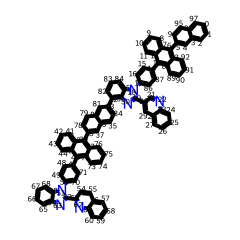 c1ccc2cc(-c3c4ccccc4c(-c4ccc(-n5c(-c6cnc7ccccc7c6)nc6c(-c7ccc8cc(-c9c%10ccccc%10c(-c%10ccc(-n%11c(-c%12ccc%13ccccc%13n%12)nc%12ccccc%12%11)cc%10)c%10ccccc9%10)ccc8c7)cccc65)cc4)c4ccccc34)ccc2c1